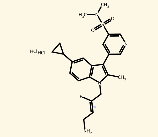 Cc1c(-c2cncc(S(=O)(=O)N(C)C)c2)c2cc(C3CC3)ccc2n1C/C(F)=C/CN.Cl.Cl